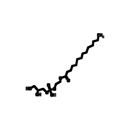 CCCCCCCCCCCCCC(=O)OCCOP(=O)(O)OCC(O)CO